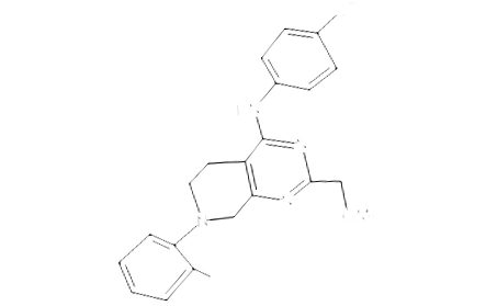 COCc1nc2c(c(Nc3ccc(C(F)(F)F)cc3)n1)CCN(c1ccccc1C(F)(F)F)C2